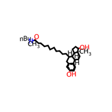 CCCCN(C)C(=O)CCCCCCCCCCC1Cc2cc(O)ccc2[C@H]2CC[C@]3(C)C(O)CC[C@H]3[C@H]12